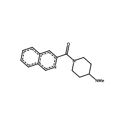 CNC1CCN(C(=O)c2cc3ccccc3cn2)CC1